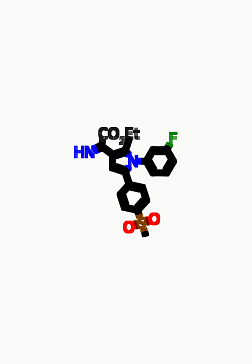 CCOC(=O)C(=N)c1cc(-c2ccc(S(C)(=O)=O)cc2)n(-c2cccc(F)c2)c1C